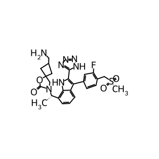 C[C@@H](c1cccc2c(-c3ccc(CS(C)(=O)=O)c(F)c3)c(-c3nnn[nH]3)[nH]c12)N1CC2(CC(CN)C2)OC1=O